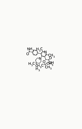 Cc1nc(C)c(C(OC(C)(C)C)C(=O)O)c(N2CCC(C)(C)CC2)c1-c1ccc(C(N)=O)cc1